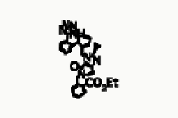 CCOC(=O)c1ccccc1Cn1ccc2nc(C3CC3)n(Cc3ccccc3-c3ccccc3-c3nnn[nH]3)c2c1=O